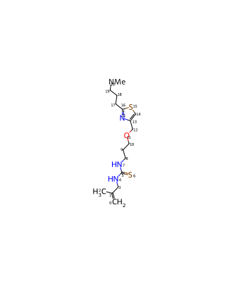 C=C(C)CNC(=S)NCCCOCc1csc(CCCNC)n1